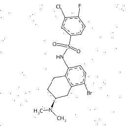 CN(C)[C@H]1CCc2c(NS(=O)(=O)c3ccc(F)c(Cl)c3)ccc(Br)c2C1